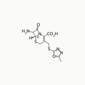 Cc1nnc(SCC2=C(C(=O)O)N3C(=O)C(N)[C@H]3SC2)o1